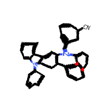 N#Cc1cccc(N(c2ccccc2)c2cc3c4ccccc4n(-c4ccccc4)c3cc2-c2ccccc2)c1